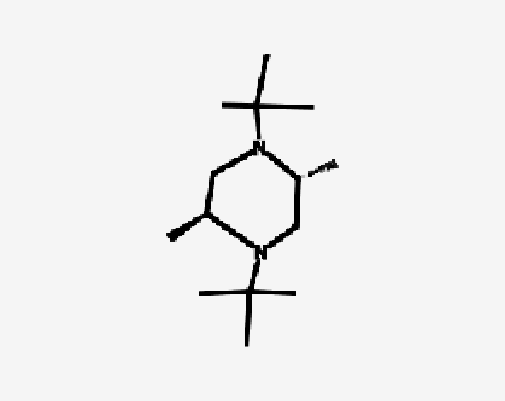 C[C@@H]1CN(C(C)(C)C)[C@@H](C)CN1C(C)(C)C